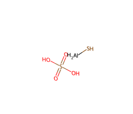 O=S(=O)(O)O.[AlH2][SH]